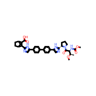 COC(=O)N[C@H](C(=O)N1CCC[C@H]1c1ncc(-c2ccc(-c3ccc(-c4cnc(C5C6CCC(C6)C5C(=O)O)[nH]4)cc3)cc2)[nH]1)[C@@H](C)OC